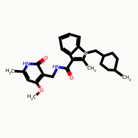 COc1cc(C)[nH]c(=O)c1CNC(=O)C1=C(C)B(CC2CCC(C)CC2)c2ccccc21